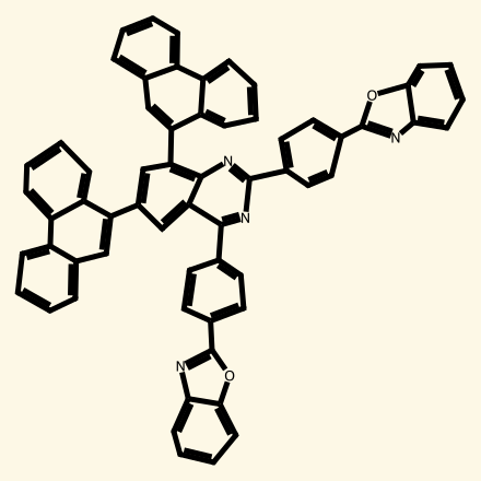 c1ccc2c(c1)cc(-c1cc(-c3cc4ccccc4c4ccccc34)c3nc(-c4ccc(-c5nc6ccccc6o5)cc4)nc(-c4ccc(-c5nc6ccccc6o5)cc4)c3c1)c1ccccc12